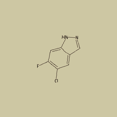 Fc1cc2[nH]ncc2cc1Cl